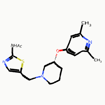 CC(=O)Nc1ncc(CN2CCC[C@@H](Oc3cc(C)nc(C)c3)C2)s1